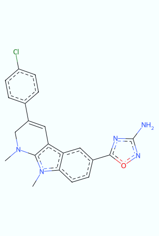 CN1CC(c2ccc(Cl)cc2)=Cc2c1n(C)c1ccc(-c3nc(N)no3)cc21